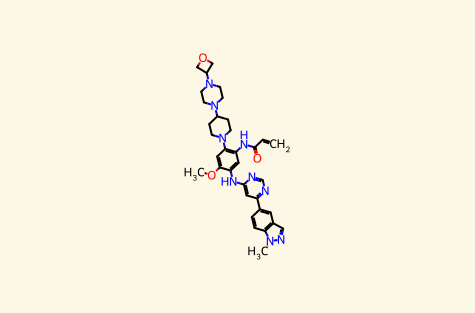 C=CC(=O)Nc1cc(Nc2cc(-c3ccc4c(cnn4C)c3)ncn2)c(OC)cc1N1CCC(N2CCN(C3COC3)CC2)CC1